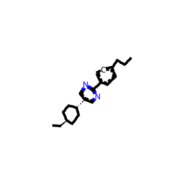 CCCc1ccc(-c2ncc([C@H]3CC[C@H](CC)CC3)cn2)cc1